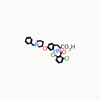 O=C(N[C@@H](Cc1ccc(O[C@H]2CCCN(Cc3ccccc3)C2)cc1)C(=O)O)c1c(Cl)cccc1Cl